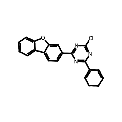 Clc1nc(C2=CCCC=C2)nc(-c2ccc3c(c2)oc2ccccc23)n1